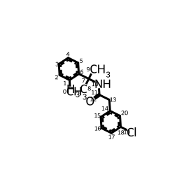 Cc1ccccc1C(C)(C)NC(=O)Cc1cccc(Cl)c1